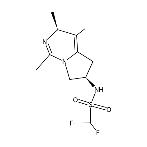 CC1=N[C@@H](C)C(C)=C2C[C@@H](NS(=O)(=O)C(F)F)CN12